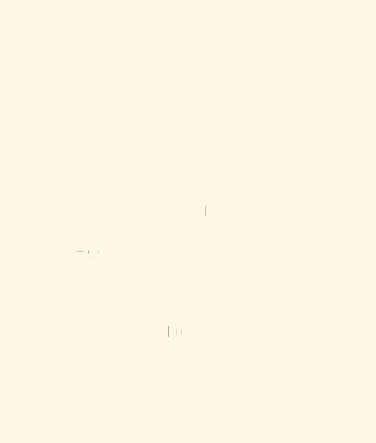 Cc1cc(C)c(P(C=CCO)C=CCO)c(C)c1